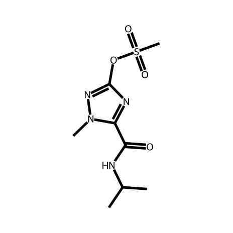 CC(C)NC(=O)c1nc(OS(C)(=O)=O)nn1C